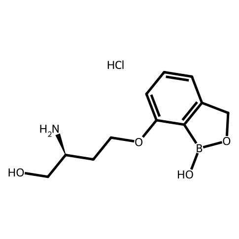 Cl.N[C@H](CO)CCOc1cccc2c1B(O)OC2